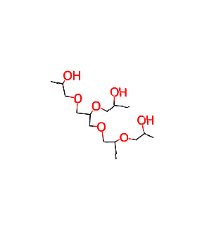 CC(O)COCC(COCC(C)OCC(C)O)OCC(C)O